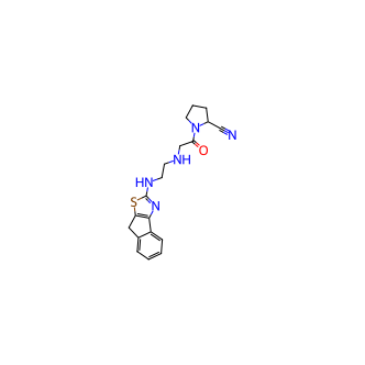 N#CC1CCCN1C(=O)CNCCNc1nc2c(s1)Cc1ccccc1-2